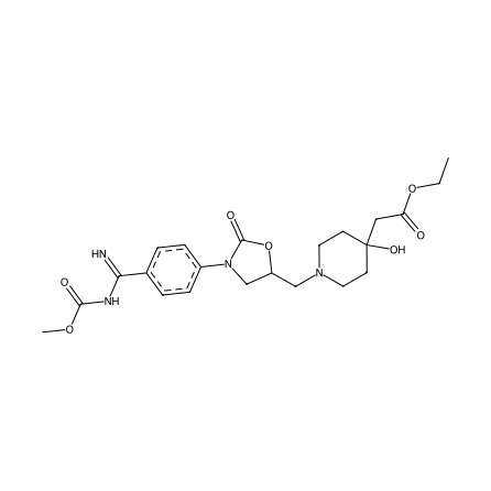 CCOC(=O)CC1(O)CCN(CC2CN(c3ccc(C(=N)NC(=O)OC)cc3)C(=O)O2)CC1